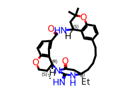 CC[C@]12CCCCc3ccc4c(c3)[C@H](CC(C)(C)O4)NC(=O)c3ccc4c(c3)[C@@H]([C@H](C)CO4)N(C(=N)N1)C(=O)C2